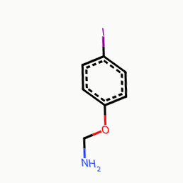 NCOc1ccc(I)cc1